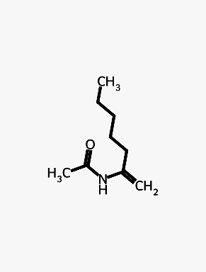 C=C(CCCCC)NC(C)=O